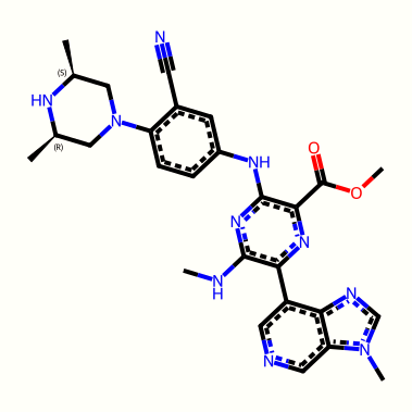 CNc1nc(Nc2ccc(N3C[C@@H](C)N[C@@H](C)C3)c(C#N)c2)c(C(=O)OC)nc1-c1cncc2c1ncn2C